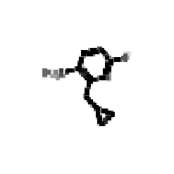 O=C(O)c1ccc(F)nc1CC1CC1